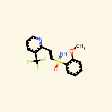 COc1ccccc1S(=N)(=O)/C=C/c1ncccc1C(F)(F)F